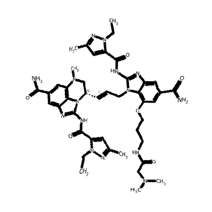 CCn1nc(C)cc1C(=O)Nc1nc2cc(C(N)=O)cc(OCCCNC(=O)CN(C)C)c2n1C/C=C/[C@H]1CN(C)c2cc(C(N)=O)cc3nc(NC(=O)c4cc(C)nn4CC)n1c23